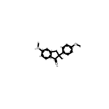 COc1ccc(C2(C)Cc3cc(OC)ccc3C2=O)cc1